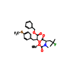 CN(C(=O)OC(C)(C)C)C(CC(C)(C)F)C(=O)OC(Cc1ccc(SC(F)(F)F)cc1)C(=O)OCc1ccccc1